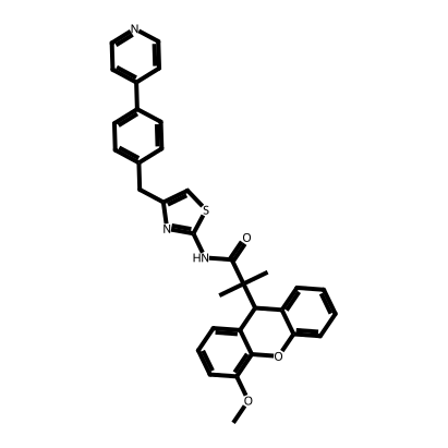 COc1cccc2c1Oc1ccccc1C2C(C)(C)C(=O)Nc1nc(Cc2ccc(-c3ccncc3)cc2)cs1